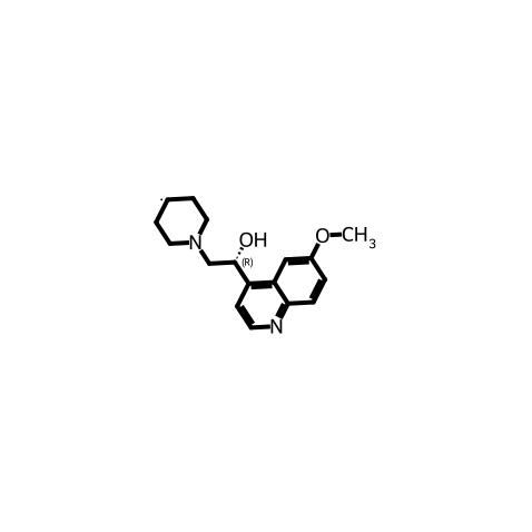 COc1ccc2nccc([C@@H](O)CN3CC[CH]CC3)c2c1